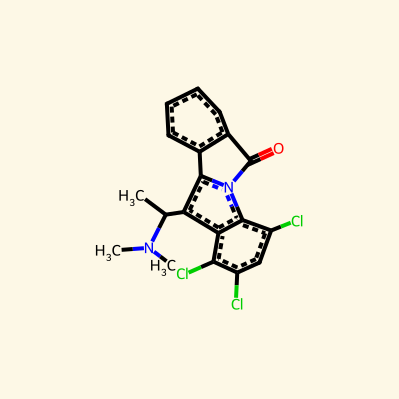 CC(c1c2n(c3c(Cl)cc(Cl)c(Cl)c13)C(=O)c1ccccc1-2)N(C)C